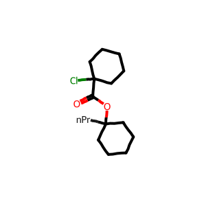 CCCC1(OC(=O)C2(Cl)CCCCC2)CCCCC1